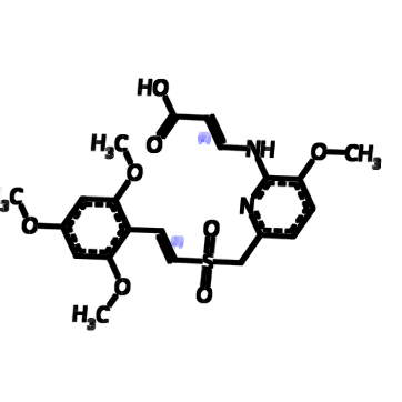 COc1cc(OC)c(/C=C/S(=O)(=O)Cc2ccc(OC)c(N/C=C/C(=O)O)n2)c(OC)c1